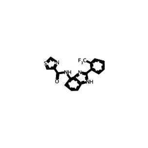 O=C(Nc1cccc2[nH]c(-c3ccccc3C(F)(F)F)nc12)c1cscn1